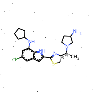 C[C@H]([C@@H]1CSC(c2cc3cc(Cl)cc(NC4CCCC4)c3[nH]2)=N1)N1CCC(N)C1